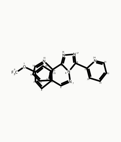 FC(F)(F)Oc1ccc(/C=N\n2c(-c3ccccn3)nnc2-c2ccccn2)cc1